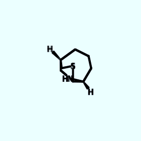 C1C[C@H]2CN[C@@H](C1)CSC2